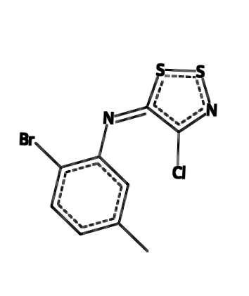 Cc1ccc(Br)c(N=c2ssnc2Cl)c1